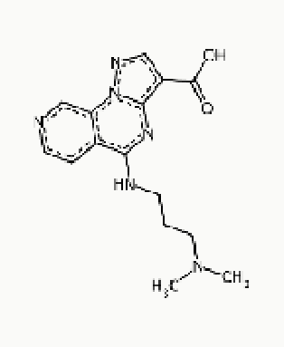 CN(C)CCCNc1nc2c(C(=O)O)cnn2c2cnccc12